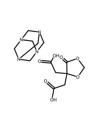 C1N2CN3CN1CN(C2)C3.O=C(O)CC1(CC(=O)O)OCOC1=O